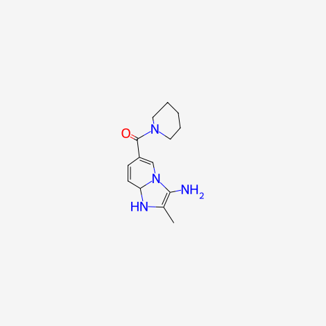 CC1=C(N)N2C=C(C(=O)N3CCCCC3)C=CC2N1